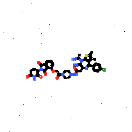 CC(=N)N1C(=N)[C@H](CC(=O)NN2CCN(C(=O)COc3cccc4c3C(=O)N(C3CCC(=O)NC3=O)C4=O)CC2)N=C(c2ccc(Cl)cc2)c2c1sc(C)c2C